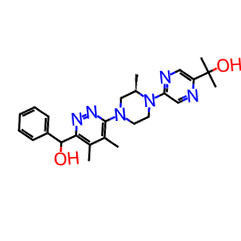 Cc1c(C(O)c2ccccc2)nnc(N2CCN(c3cnc(C(C)(C)O)cn3)[C@H](C)C2)c1C